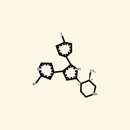 C[C@H]1CNCC[C@H]1c1cc(-c2ccnc(Br)c2)c(-c2ccc(F)cc2)[nH]1